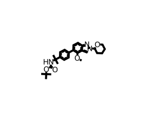 COc1c(-c2ccc(C(C)(C)NC(=O)OC(C)(C)C)cc2)ccc2nn(C3CCCCO3)cc12